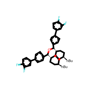 CCCC[C@H]1CC[C@H](C(OC(c2ccc(-c3ccc(F)c(F)c3)cc2)[C@H]2CC[C@H](CCCC)CC2)c2ccc(-c3ccc(F)c(F)c3)cc2)CC1